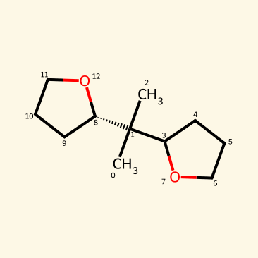 CC(C)(C1CCCO1)[C@@H]1CCCO1